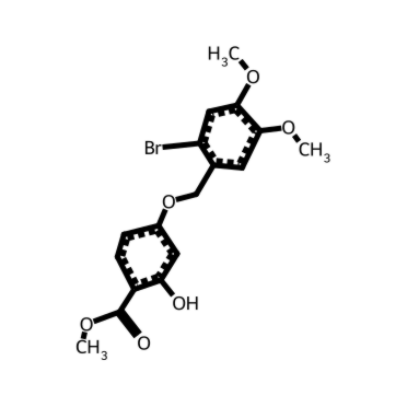 COC(=O)c1ccc(OCc2cc(OC)c(OC)cc2Br)cc1O